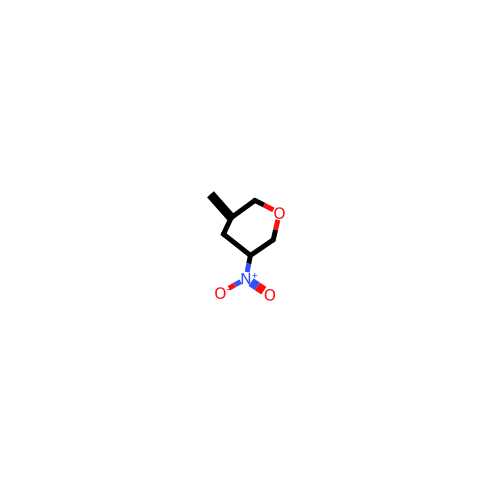 C=C1COCC([N+](=O)[O-])C1